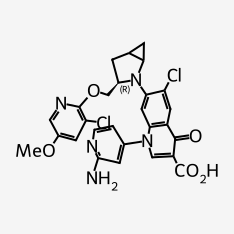 COc1cnc(OC[C@H]2CC3CC3N2c2cc3c(cc2Cl)c(=O)c(C(=O)O)cn3-c2ccnc(N)c2)c(Cl)c1